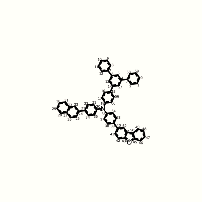 c1ccc(-c2cc(-c3ccccc3)cc(-c3ccc(N(c4ccc(-c5ccc6ccccc6c5)cc4)c4ccc(-c5ccc6oc7ccccc7c6c5)cc4)cc3)c2)cc1